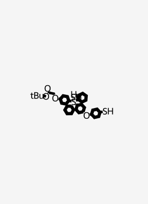 CC(C)(C)OC(=O)COc1ccc([SH](S)(c2ccccc2)(c2ccccc2)c2ccc(Oc3ccc(S)cc3)cc2)cc1